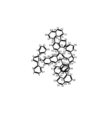 c1ccc(-c2ccc(-c3ccccc3)n2-c2ccc3cc4c(-c5ccc6c7cccc8cccc(c9cccc5c96)c87)c(-n5c(-c6ccccc6)ccc5-c5ccccc5)cc(-c5ccc6c7cccc8cccc(c9cccc5c96)c87)c4cc3c2)cc1